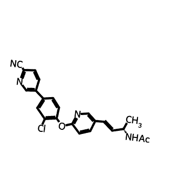 CC(=O)N[C@@H](C)/C=C/c1ccc(Oc2ccc(-c3ccc(C#N)nc3)cc2Cl)nc1